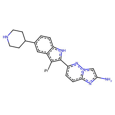 CC(C)c1c(-c2ccc3nc(N)cn3n2)[nH]c2ccc(C3CCNCC3)cc12